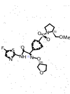 COC[C@@H]1CCCN1S(=O)(=O)c1ccc(/C(=N\O[C@@H]2CCOC2)C(=O)Nc2ncc(F)s2)cc1